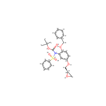 CC(C)(C)OC(=O)N(c1cc(OC[C@H]2CO2)ccc1OCc1ccccc1)S(=O)(=O)c1ccccc1